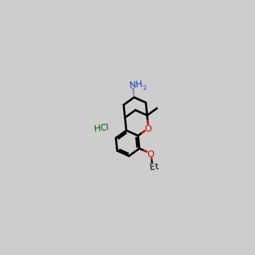 CCOc1cccc2c1OC1(C)CC2C[C@H](N)C1.Cl